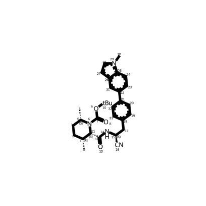 C[C@@H]1CC[C@H](C)N(C(=O)OC(C)(C)C)[C@@H]1C(=O)N[C@H](C#N)Cc1ccc(-c2ccc3c(ccn3C)c2)cc1